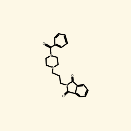 O=C(c1ccccc1)N1CCN(CCCN2C(=O)c3ccccc3C2=O)CC1